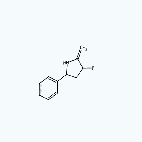 C=C1NC(c2ccccc2)CC1F